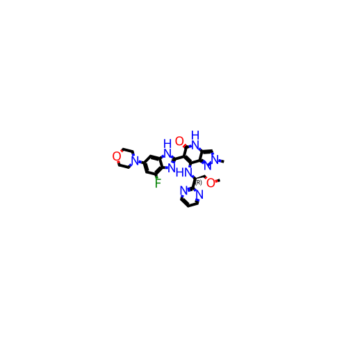 COC[C@H](Nc1c(-c2nc3c(F)cc(N4CCOCC4)cc3[nH]2)c(=O)[nH]c2cn(C)nc12)c1ncccn1